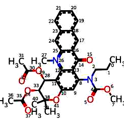 CCCN(C(=O)OC)c1cc2c(c3c1c(=O)c1cc4ccccc4cc1n3C)[C@H](OC(C)=O)[C@H](OC(C)=O)C(C)(C)O2